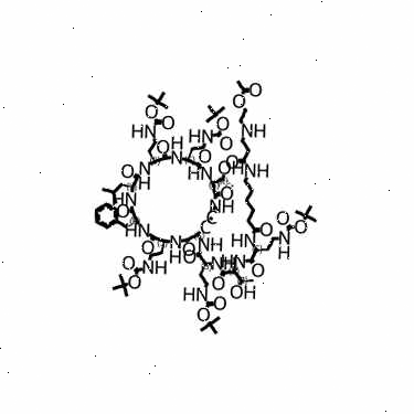 CC(=O)OCCNCCC(=O)NCCCCCC(=O)N[C@@H](CCNC(=O)OC(C)(C)C)C(=O)N[C@H](C(=O)N[C@@H](CCNC(=O)OC(C)(C)C)C(=O)N[C@H]1CCNC(=O)[C@H]([C@@H](C)O)NC(=O)[C@H](CCNC(=O)OC(C)(C)C)NC(=O)[C@H](CCNC(=O)OC(C)(C)C)NC(=O)[C@H](CC(C)C)NC(=O)[C@@H](Cc2ccccc2)NC(=O)[C@H](CCNC(=O)OC(C)(C)C)NC1=O)[C@@H](C)O